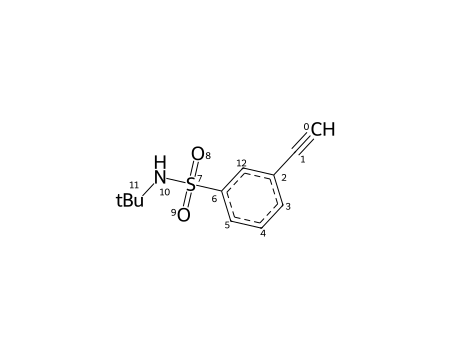 C#Cc1cccc(S(=O)(=O)NC(C)(C)C)c1